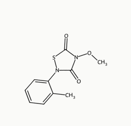 COn1c(=O)sn(-c2ccccc2C)c1=O